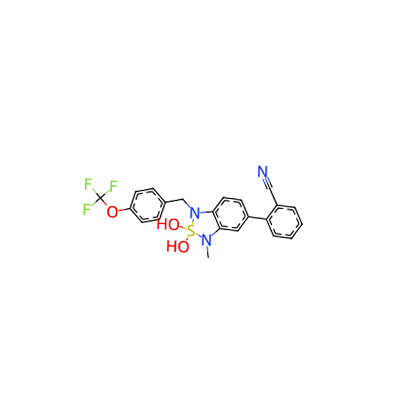 CN1c2cc(-c3ccccc3C#N)ccc2N(Cc2ccc(OC(F)(F)F)cc2)S1(O)O